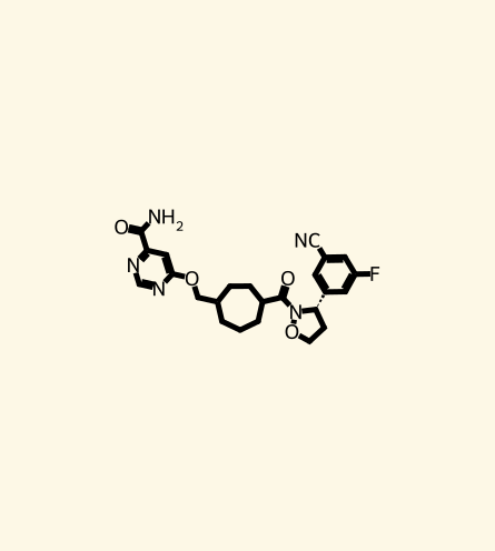 N#Cc1cc(F)cc([C@@H]2CCON2C(=O)C2CCCC(COc3cc(C(N)=O)ncn3)CC2)c1